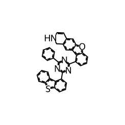 C1=Cc2cc3oc4cccc(-c5nc(-c6ccccc6)nc(-c6cccc7sc8ccccc8c67)n5)c4c3cc2CN1